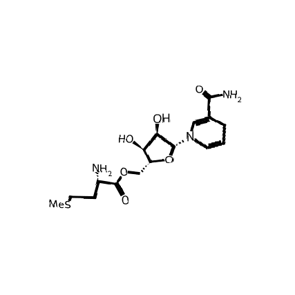 CSCC[C@H](N)C(=O)OC[C@H]1O[C@@H](N2C=CCC(C(N)=O)=C2)[C@H](O)[C@@H]1O